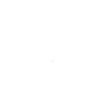 Br.c1ccc([CH2][Mg][c]2ccccc2)cc1